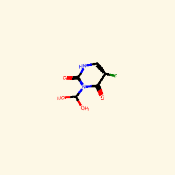 O=c1[nH]cc(F)c(=O)n1C(O)O